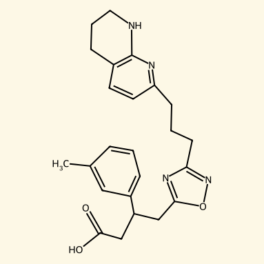 Cc1cccc(C(CC(=O)O)Cc2nc(CCCc3ccc4c(n3)NCCC4)no2)c1